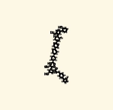 CCNc1nnc(-c2ccccc2O)cc1N1CCN(c2ncc(-c3ccc([C@H]4CC[C@H](C(=O)N[C@H](C(=O)N5C[C@H](O)C[C@H]5C(=O)NCc5ccc(-c6ccnn6C)cc5)C(C)(C)C)CC4)cc3)cn2)C[C@@H]1C